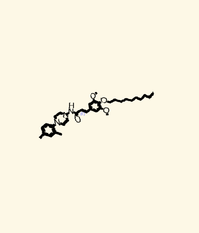 CCCCCCCCCCOc1c(OC)cc(/C=C/C(=O)NN2CCN(c3ccc(C)cc3C)CC2)cc1OC